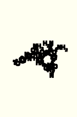 Cc1nc(-c2ccc(OC(C)(C)C)cc2)ncc1C(=O)NC(CCN)C(=O)N(C)C1C(=O)NC(C)C(=O)NC(C(=O)NCC#N)Cc2ccc(OCCN)c(c2)-c2cc1ccc2OCCN